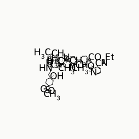 C=C(C)[C@@H]1CC[C@]2(NCC[C@]3(O)CC[C@H](S(C)(=O)=O)CC3)CC[C@]3(C)[C@H](CC[C@@H]4[C@@]5(C)CC=C(C6=CC[C@@](COc7ncccc7C#N)(C(=O)OCC)CC6)C(C)(C)[C@@H]5CC[C@]43C)[C@@H]12